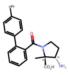 CCCc1ccc(-c2ccccc2C(=O)N2CC[C@H](N)[C@@]2(C)C(=O)O)cc1